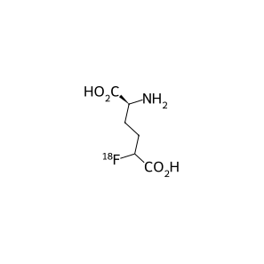 N[C@@H](CCC([18F])C(=O)O)C(=O)O